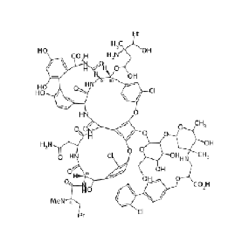 CCC(O)C(C)(N)CC(O)O[C@@H]1c2ccc(c(Cl)c2)Oc2cc3cc(c2OC2OC(CO)C(O)C(O)C2OC2CC(C)(NCC(OCc4ccc(-c5ccccc5Cl)cc4)C(=O)O)C(O)C(C)O2)Oc2ccc(cc2Cl)C(O)[C@H](NC(=O)[C@@H](CC(C)C)NC)C(=O)NC(CC(N)=O)C(=O)NC3C(=O)NC2C(=O)N[C@@H]1C(=O)NC(C(=O)O)c1cc(O)cc(O)c1-c1cc2ccc1O